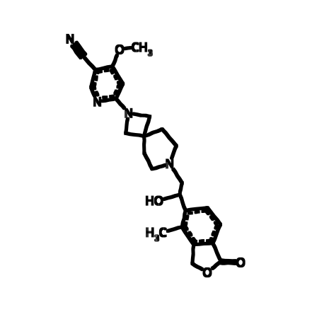 COc1cc(N2CC3(CCN(CC(O)c4ccc5c(c4C)COC5=O)CC3)C2)ncc1C#N